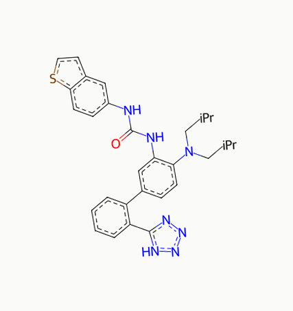 CC(C)CN(CC(C)C)c1ccc(-c2ccccc2-c2nnn[nH]2)cc1NC(=O)Nc1ccc2sccc2c1